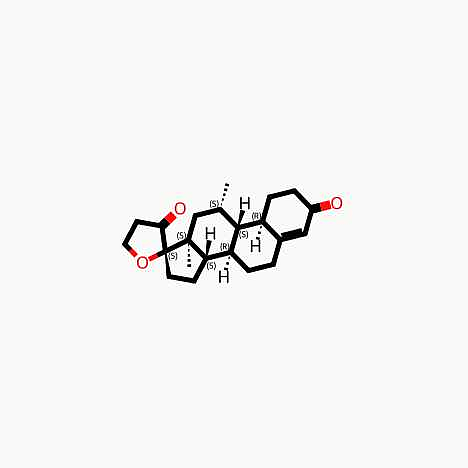 C[C@H]1C[C@@]2(C)[C@@H](CC[C@]23OCCC3=O)[C@@H]2CCC3=CC(=O)CC[C@@H]3[C@H]21